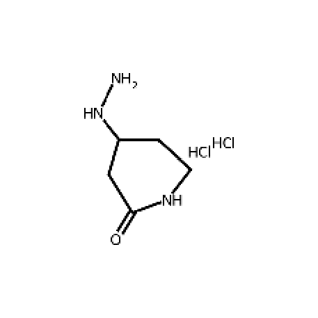 Cl.Cl.NNC1CCNC(=O)C1